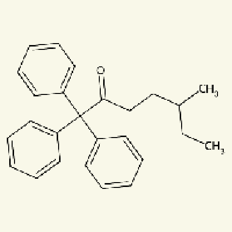 CCC(C)CCC(=O)C(c1ccccc1)(c1ccccc1)c1ccccc1